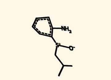 CC(C)C[S+]([O-])c1ccccc1N